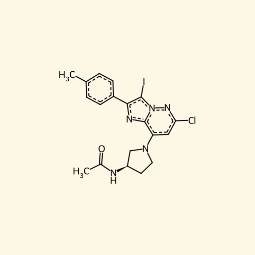 CC(=O)N[C@@H]1CCN(c2cc(Cl)nn3c(I)c(-c4ccc(C)cc4)nc23)C1